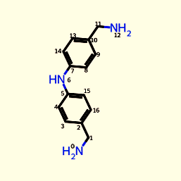 NCc1ccc(Nc2ccc(CN)cc2)cc1